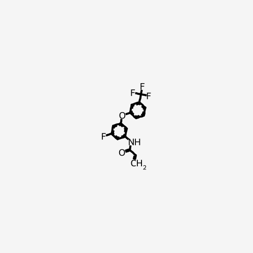 C=CC(=O)Nc1cc(F)cc(Oc2cccc(C(F)(F)F)c2)c1